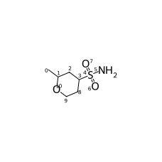 CC1CC(S(N)(=O)=O)CCO1